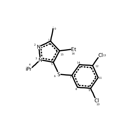 [CH2]c1nn(C(C)C)c(Sc2cc(Cl)cc(Cl)c2)c1CC